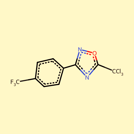 FC(F)(F)c1ccc(-c2noc(C(Cl)(Cl)Cl)n2)cc1